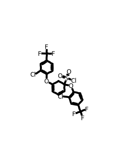 O=S(=O)(Cl)C1(Oc2ccc(C(F)(F)F)cc2Cl)C=CC=C(Oc2ccc(C(F)(F)F)cc2Cl)C1